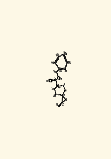 C[C@@H]1CC12CCN(C(=O)OCc1ccccc1)CC2